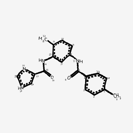 Cc1ccc(C(=O)Nc2ccc(C)c(NC(=O)c3c[nH]cn3)c2)cc1